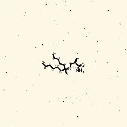 C=C(CNC(C)(CCCCC)CCCCCC)C(N)=O